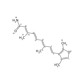 CC(/C=C/c1c(C)coc1C)=C\C=C\C(C)=C\C(N)=O